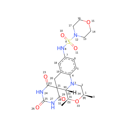 C[C@@H]1CN2c3ccc(NS(=O)(=O)N4CCOCC4)cc3CC3(C(=O)NC(=O)NC3=O)[C@H]2[C@H](C)O1